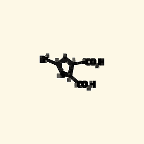 O=C(O)c1cc(Br)sc1C(=O)O